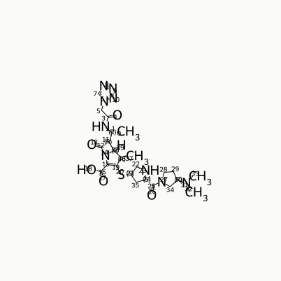 C[C@@H](NC(=O)Cn1cnnn1)[C@H]1C(=O)N2C(C(=O)O)=C(S[C@@H]3CN[C@H](C(=O)N4CC[C@@H](N(C)C)C4)C3)[C@H](C)[C@H]12